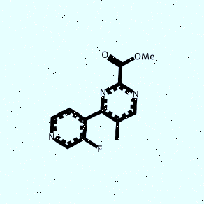 COC(=O)c1ncc(C)c(-c2ccncc2F)n1